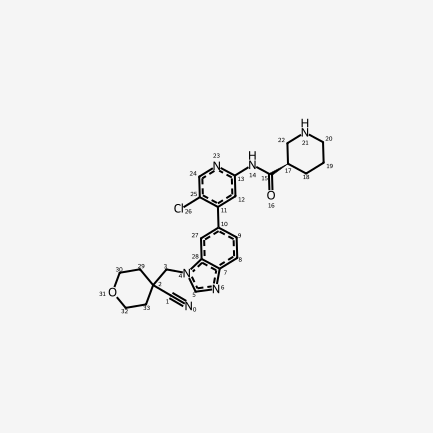 N#CC1(Cn2cnc3ccc(-c4cc(NC(=O)[C@@H]5CCCNC5)ncc4Cl)cc32)CCOCC1